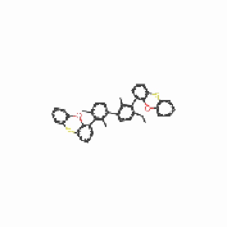 CCc1ccc(-c2ccc(C)c(-c3cccc4c3Oc3ccccc3S4)c2C)c(C)c1-c1cccc2c1Oc1ccccc1S2